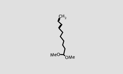 C=C/C=C/CCCCCC(OC)OC